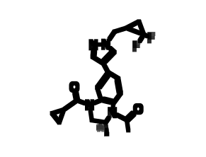 CC(=O)N1c2ccc(-c3cnn(CC4CC4(F)F)c3)cc2N(C(=O)C2CC2)C[C@@H]1C